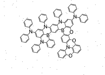 c1ccc(N(c2ccccc2)c2cc3c4c(c2)N(c2ccccc2)c2cc5c(cc2B4c2ccc4c(c2O3)Oc2cccc3c2N4c2ccccc2O3)B2c3ccccc3N(c3ccccc3)c3cc(N(c4ccccc4)c4ccccc4)cc(c32)N5c2ccccc2)cc1